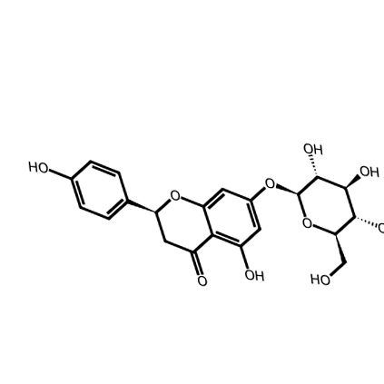 O=C1C[C@@H](c2ccc(O)cc2)Oc2cc(O[C@@H]3O[C@H](CO)[C@@H](O)[C@H](O)[C@H]3O)cc(O)c21